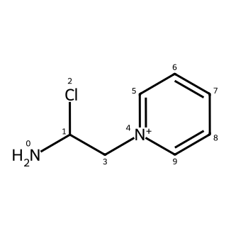 NC(Cl)C[n+]1ccccc1